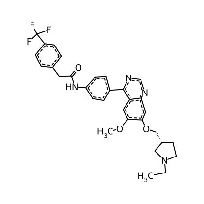 CCN1CC[C@@H](COc2cc3ncnc(-c4ccc(NC(=O)Cc5ccc(C(F)(F)F)cc5)cc4)c3cc2OC)C1